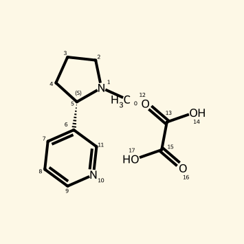 CN1CCC[C@H]1c1cccnc1.O=C(O)C(=O)O